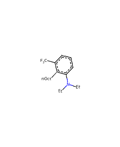 CCCCCCCCc1c(C(F)(F)F)[c]ccc1N(CC)CC